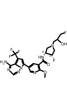 COc1ncc(-c2cc(C(F)(F)F)c3c(N)ncnn23)cc1C(=O)N[C@@H]1CN(CC(O)CF)C[C@@H]1F